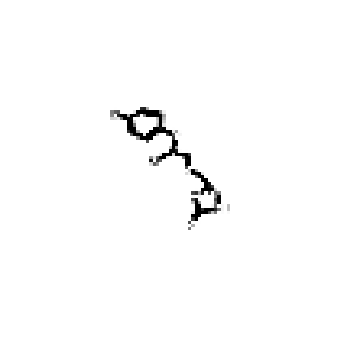 S=c1[nH]nc(CSCC(Cl)Oc2ccc(Cl)cc2)o1